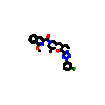 CCC(CCCN(CC(C)C)C(=O)c1cc2ccccc2c(OC)n1)C(=O)c1nnn(-c2cccc(F)c2)n1